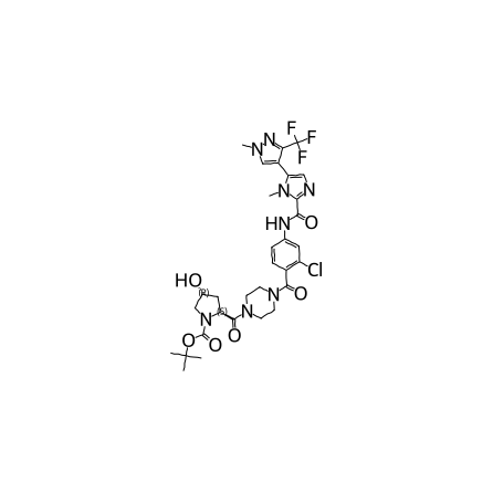 Cn1cc(-c2cnc(C(=O)Nc3ccc(C(=O)N4CCN(C(=O)[C@@H]5C[C@@H](O)CN5C(=O)OC(C)(C)C)CC4)c(Cl)c3)n2C)c(C(F)(F)F)n1